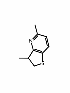 Cc1ccc2c(n1)C(C)CS2